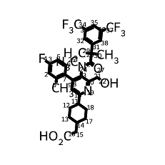 Cc1cc(F)ccc1-c1cc(C2CCC(CC(=O)O)CC2)nc(CO)c1N(C)C(=O)C(C)(C)c1cc(C(F)(F)F)cc(C(F)(F)F)c1